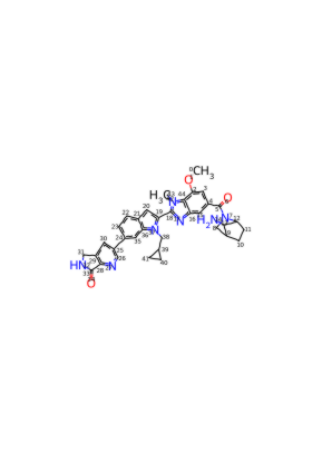 COc1cc(C(=O)N2CC3CCC2C3N)cc2nc(-c3cc4ccc(-c5cnc6c(c5)CNC6=O)cc4n3CC3CC3)n(C)c12